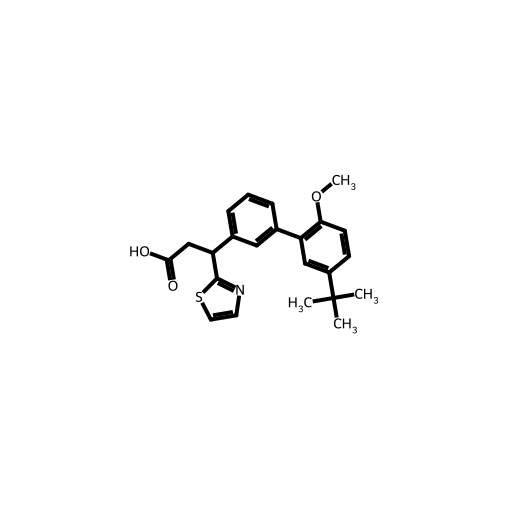 COc1ccc(C(C)(C)C)cc1-c1cccc(C(CC(=O)O)c2nccs2)c1